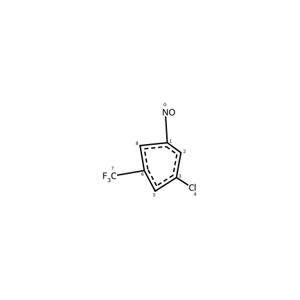 O=Nc1cc(Cl)cc(C(F)(F)F)c1